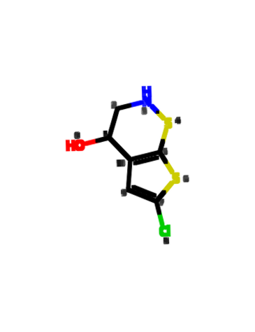 OC1CNSc2sc(Cl)cc21